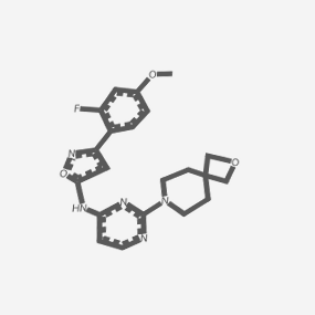 COc1ccc(-c2cc(Nc3ccnc(N4CCC5(CC4)COC5)n3)on2)c(F)c1